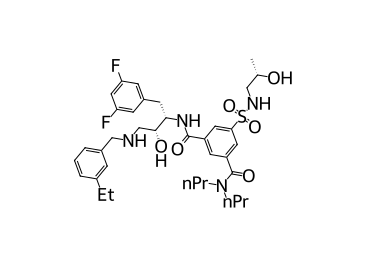 CCCN(CCC)C(=O)c1cc(C(=O)N[C@@H](Cc2cc(F)cc(F)c2)[C@H](O)CNCc2cccc(CC)c2)cc(S(=O)(=O)NC[C@H](C)O)c1